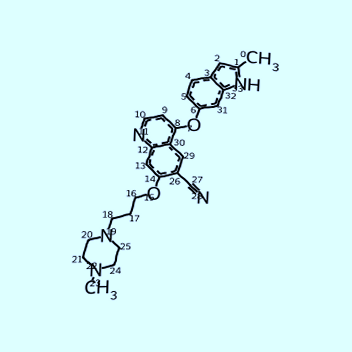 Cc1cc2ccc(Oc3ccnc4cc(OCCCN5CCN(C)CC5)c(C#N)cc34)cc2[nH]1